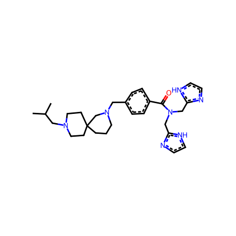 CC(C)CN1CCC2(CCCN(Cc3ccc(C(=O)N(Cc4ncc[nH]4)Cc4ncc[nH]4)cc3)C2)CC1